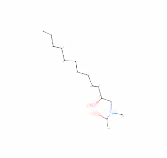 CCCCCCCCCCC(O)CN(C)C(C)O